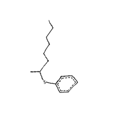 CCCCCCC(C)Sc1ccccc1